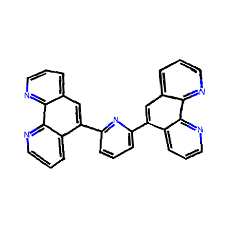 c1cc(-c2cc3cccnc3c3ncccc23)nc(-c2cc3cccnc3c3ncccc23)c1